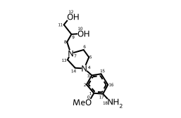 COc1cc(N2CCN(CC(O)CO)CC2)ccc1N